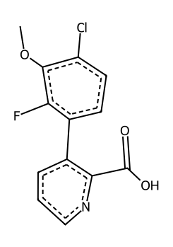 COc1c(Cl)ccc(-c2cccnc2C(=O)O)c1F